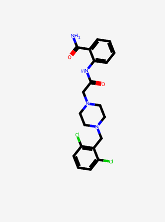 NC(=O)c1ccccc1NC(=O)CN1CCN(Cc2c(Cl)cccc2Cl)CC1